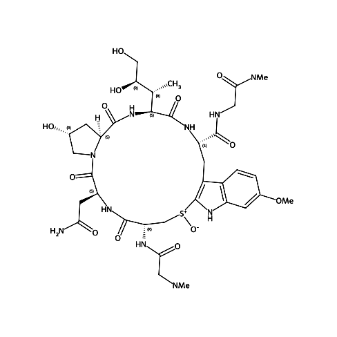 CNCC(=O)N[C@H]1C[S+]([O-])c2[nH]c3cc(OC)ccc3c2C[C@@H](C(=O)NCC(=O)NC)NC(=O)[C@H]([C@@H](C)[C@@H](O)CO)NC(=O)[C@@H]2C[C@@H](O)CN2C(=O)[C@H](CC(N)=O)NC1=O